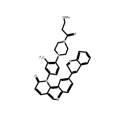 COCCC(=O)N1CCN(c2ccc(-n3c(=O)ccc4cnc5ccc(-c6cnc7ccccc7c6)cc5c43)cc2C(F)(F)F)CC1